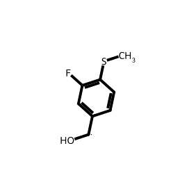 CSc1ccc([CH]O)cc1F